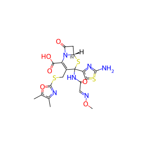 CON=CC(=O)NC1(c2csc(N)n2)S[C@H]2CC(=O)N2C(C(=O)O)=C1CSc1nc(C)c(C)o1